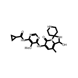 COc1c(NC(=O)C2CC2)ncnc1Nc1cc(C)c2n(c1=O)C1(CCNCC1)NC2O